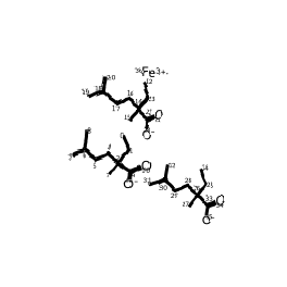 CCC(C)(CCC(C)C)C(=O)[O-].CCC(C)(CCC(C)C)C(=O)[O-].CCC(C)(CCC(C)C)C(=O)[O-].[Fe+3]